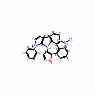 In1c2cccc3c4occc4n4c5c(ccc1c5c32)c1ccn(-c2ccccc2)c14